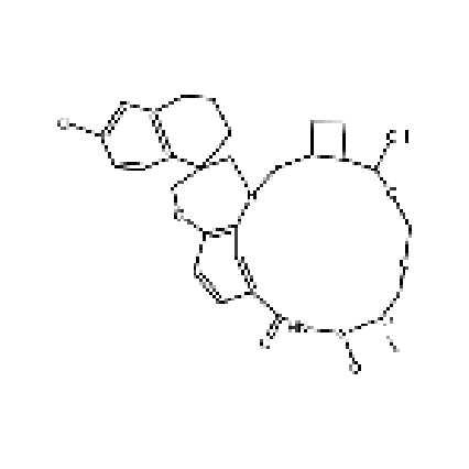 C[C@H]1CCCCC(O)C2CCC2CN2CC3(CCCc4cc(Cl)ccc43)COc3ccc(cc32)C(=O)N[S+]1[O-]